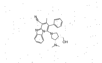 Cc1c(-c2ccccc2)c(N2C[C@H](CO)[C@H](N(C)C)C2)n2c(nc3ccccc32)c1C#N